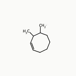 [CH2]C1CCCC/C=C\C1C